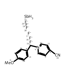 COc1ccc(C[n+]2ccc(C#N)cc2)cc1.[F-].[F-].[F-].[F-].[F-].[F-].[SbH3]